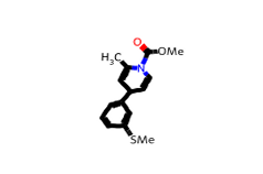 COC(=O)N1C=CC(c2cccc(SC)c2)C=C1C